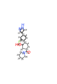 O=C(C1CCC(c2ccc(-c3cn[nH]c3)cc2F)C(O)C1)N1CCCCC1